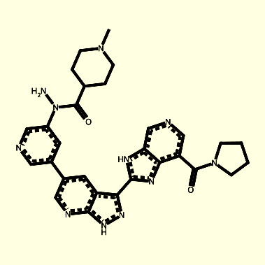 CN1CCC(C(=O)N(N)c2cncc(-c3cnc4[nH]nc(-c5nc6c(C(=O)N7CCCC7)cncc6[nH]5)c4c3)c2)CC1